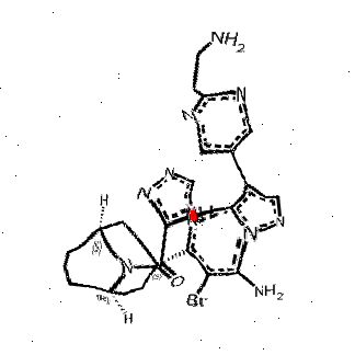 NCc1ncc(-c2cnn3c(N)c(Br)c([C@@H]4C[C@H]5CC[C@@H](C4)N5C(=O)c4nnc[nH]4)nc23)cn1